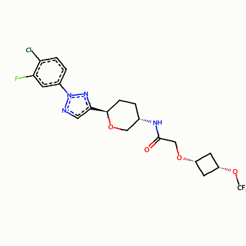 O=C(CO[C@H]1C[C@@H](OC(F)(F)F)C1)N[C@H]1CC[C@H](c2cnn(-c3ccc(Cl)c(F)c3)n2)OC1